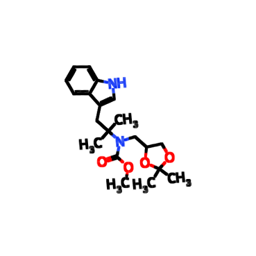 COC(=O)N(CC1COC(C)(C)O1)C(C)(C)Cc1c[nH]c2ccccc12